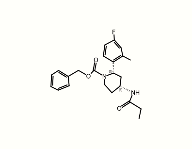 CCC(=O)N[C@@H]1CCN(C(=O)OCc2ccccc2)[C@H](c2ccc(F)cc2C)C1